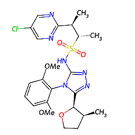 COc1cccc(OC)c1-n1c(NS(=O)(=O)[C@@H](C)[C@H](C)c2ncc(Cl)cn2)nnc1[C@@H]1OCC[C@@H]1C